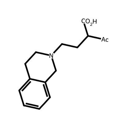 CC(=O)C(CCN1CCc2ccccc2C1)C(=O)O